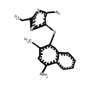 CC(=O)c1sc(C)nc1Oc1c(C)cc(N)c2ccccc12